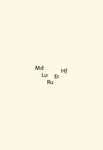 [Er].[Hf].[Lu].[Md].[Ru]